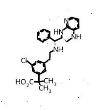 CC(C)(C(=O)O)c1cc(Cl)cc(CCN[C@H](c2ccccc2)[C@H]2CNc3cccnc3N2)c1